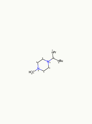 CCCCC(CCC)N1CCN(C)CC1